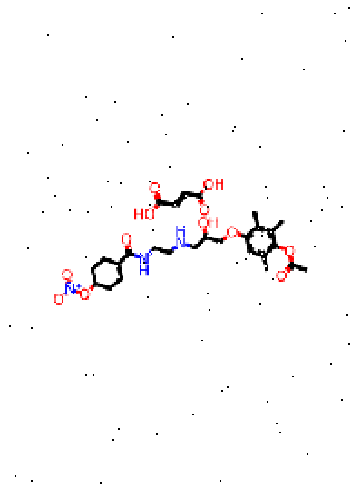 CC(=O)Oc1c(C)cc(OCC(O)CNCCNC(=O)C2CCC(O[N+](=O)[O-])CC2)c(C)c1C.O=C(O)C=CC(=O)O